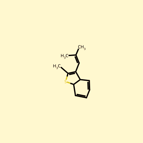 CC(C)=CC1=C(C)SC2C=CC=CC12